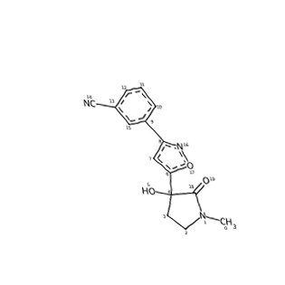 CN1CCC(O)(c2cc(-c3cccc(C#N)c3)no2)C1=O